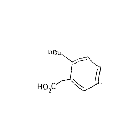 CCCCc1cc[c]cc1C(=O)O